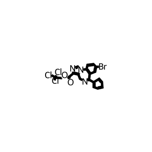 O=C(OCC(Cl)(Cl)Cl)c1ncn2c1CN=C(c1ccccc1)c1cc(Br)ccc1-2